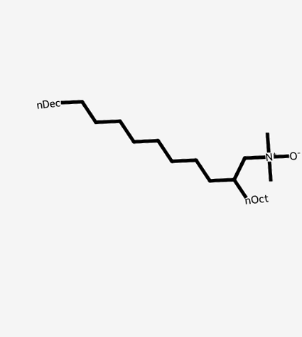 CCCCCCCCCCCCCCCCCCC(CCCCCCCC)C[N+](C)(C)[O-]